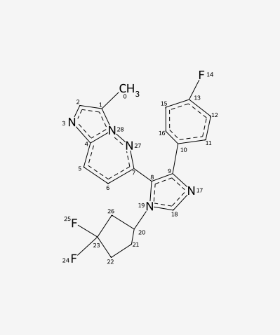 Cc1cnc2ccc(-c3c(-c4ccc(F)cc4)ncn3C3CCC(F)(F)C3)nn12